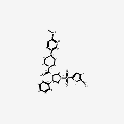 COc1ccc(N2CCN(C(=O)[C@@H]3CN(S(=O)(=O)c4ccc(Cl)s4)C[C@H]3c3ccccc3)CC2)cc1